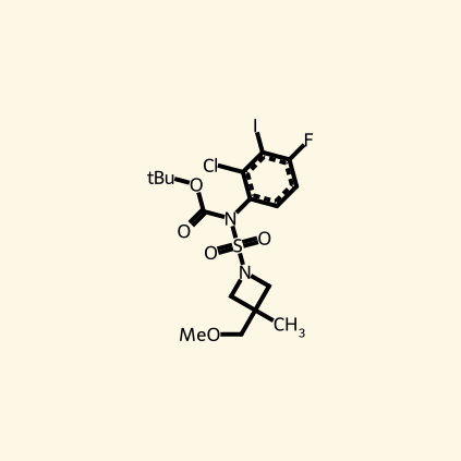 COCC1(C)CN(S(=O)(=O)N(C(=O)OC(C)(C)C)c2ccc(F)c(I)c2Cl)C1